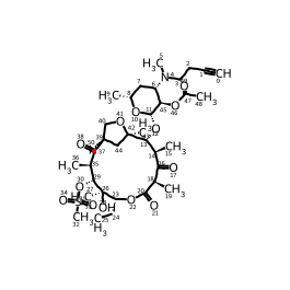 C#CCCN(C)[C@H]1C[C@@H](C)O[C@@H](O[C@@H]2[C@@H](C)C(=O)[C@@H](C)C(=O)O[C@H](CC)[C@@](C)(O)[C@H](OS(C)(=O)=O)[C@@H](C)C(=O)[C@@H]3CO[C@]2(C)C3)[C@@H]1OC(C)=O